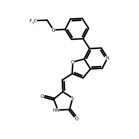 O=C1NC(=O)/C(=C/c2cc3cncc(-c4cccc(OCC(F)(F)F)c4)c3o2)S1